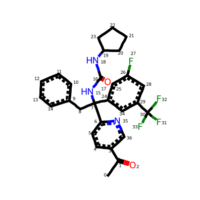 CC(=O)c1ccc(C(Cc2ccccc2)(NC(=O)NC2CCCC2)c2cc(F)cc(C(F)(F)F)c2)nc1